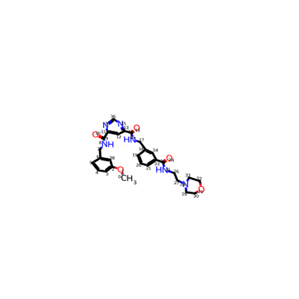 COc1cccc(CNC(=O)c2cc(C(=O)NCc3cccc(C(=O)NCCN4CCOCC4)c3)ncn2)c1